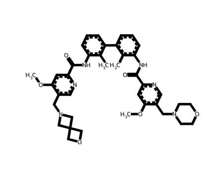 COc1cc(C(=O)Nc2cccc(-c3cccc(NC(=O)c4cc(OC)c(CN5CC6(COC6)C5)cn4)c3C)c2C)ncc1CN1CCOCC1